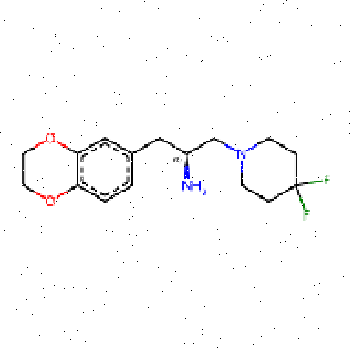 N[C@@H](Cc1ccc2c(c1)OCCO2)CN1CCC(F)(F)CC1